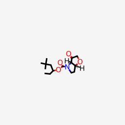 CCC(CC(C)(C)C)OC(=O)N1CC[C@H]2OCC(=O)[C@H]21